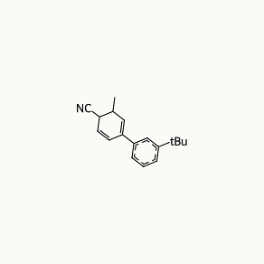 CC1C=C(c2cccc(C(C)(C)C)c2)C=CC1C#N